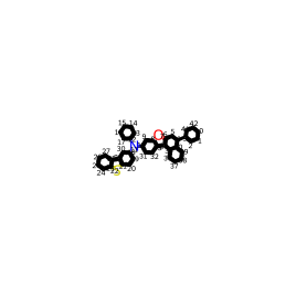 c1ccc(-c2cc3oc4cc(N(c5ccccc5)c5ccc6sc7ccccc7c6c5)ccc4c3c3ccccc23)cc1